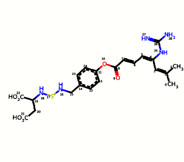 CC(C)=C/C(=C\C=C\C(=O)Oc1ccc(CNSNC(CC(=O)O)C(=O)O)cc1)NC(=N)N